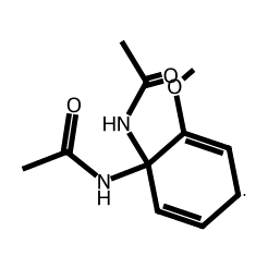 COC1=C[CH]C=CC1(NC(C)=O)NC(C)=O